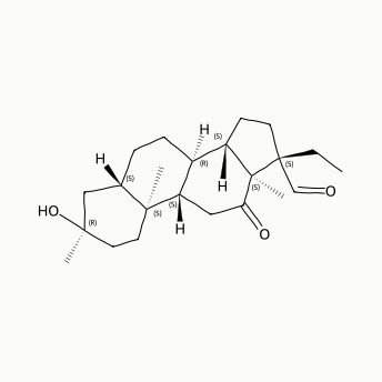 CC[C@]1(C=O)CC[C@H]2[C@@H]3CC[C@H]4C[C@](C)(O)CC[C@]4(C)[C@H]3CC(=O)[C@@]21C